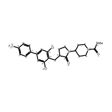 CNC(=O)N1CCC(N2CCC(Cc3c(Cl)cc(-c4ccc(C(F)(F)F)cc4)cc3Cl)C2=O)CC1